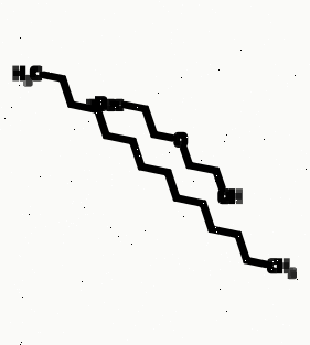 CCCCCCCCCCCCCC.CCCCCCCCCCCCOCCO